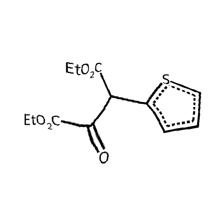 CCOC(=O)C(=O)C(C(=O)OCC)c1cccs1